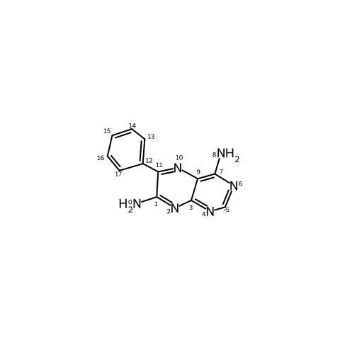 Nc1nc2n[c]nc(N)c2nc1-c1ccccc1